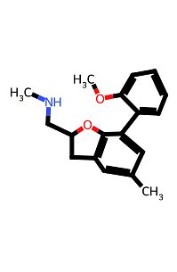 CNCC1Cc2cc(C)cc(-c3ccccc3OC)c2O1